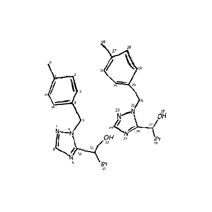 Cc1ccc(Cn2ncnc2C(O)C(C)C)cc1.Cc1ccc(Cn2ncnc2C(O)C(C)C)cc1